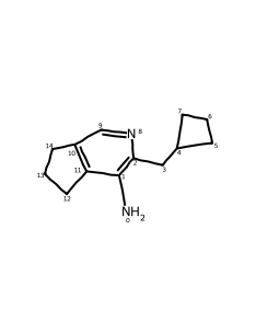 Nc1c(CC2CCC2)ncc2c1CCC2